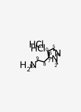 Cl.Cl.Cn1nccc1CCN